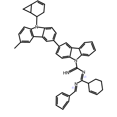 Cc1ccc2c(c1)c1cc(-c3ccc4c(c3)c3ccccc3n4C(=N)/N=C(\N=C\c3ccccc3)C3C=CCCC3)ccc1n2C1CC=CC2CC21